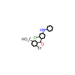 CCc1ccc(C(=O)O)cc1C(=O)c1ccc(Nc2ccccc2)cc1Cl